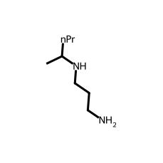 CCCC(C)NCCCN